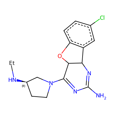 CCN[C@@H]1CCN(C2=NC(N)=NC3c4cc(Cl)ccc4OC23)C1